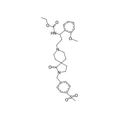 CCOC(=O)NC(CCN1CCC2(CC1)CCN(Cc1ccc(S(C)(=O)=O)cc1)C2=O)c1ccccc1OC